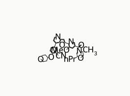 CCCC1CN(C(=O)c2cnc(-c3cc4nccc(-c5ccc(OC6CCOCC6)c(C#N)c5)c4o3)c(OC)c2)C(C)CO1